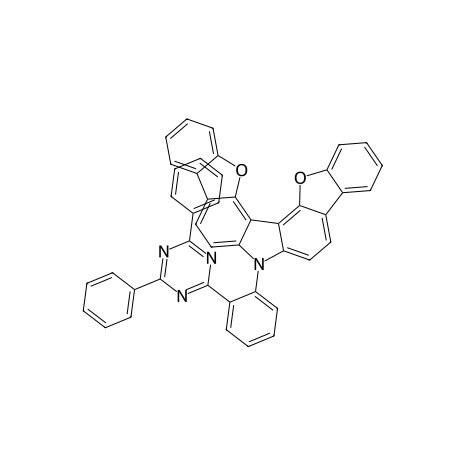 c1ccc(-c2nc(-c3ccccc3)nc(-c3ccccc3-n3c4ccc5c6ccccc6oc5c4c4c5oc6ccccc6c5ccc43)n2)cc1